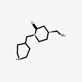 CC(C)(C)C[C@H]1CCN(CC2CCNCC2)C(=O)C1